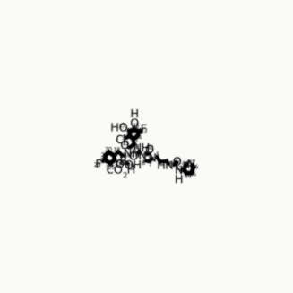 O=C(NCCCN1CCN(C(=O)NC(C(=O)N[C@H]2Cc3ccc(F)c(C(=O)O)c3OB2O)c2cc(F)c(O)c(O)c2Cl)C1=O)Nc1cccnc1